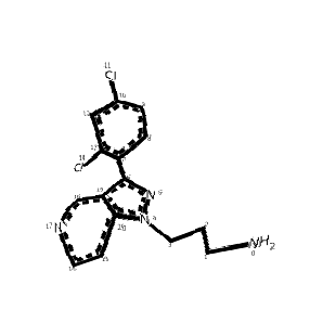 NCCCn1nc(-c2ccc(Cl)cc2Cl)c2cnccc21